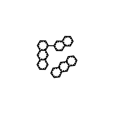 c1ccc2cc(-c3cccc4cc5ccccc5cc34)ccc2c1.c1ccc2cc3ccccc3cc2c1